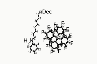 CCCCCCCCCCCCCCCCCC[NH2+]c1ccccc1.Fc1c(F)c(F)c([B-](c2c(F)c(F)c(F)c(F)c2F)(c2c(F)c(F)c(F)c(F)c2F)c2c(F)c(F)c(F)c(F)c2F)c(F)c1F